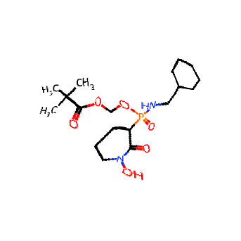 CC(C)(C)C(=O)OCOP(=O)(NCC1CCCCC1)C1CCCN(O)C1=O